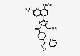 C=C(c1nc(-c2ccc(OC)c3nc(C(F)(F)F)ccc23)oc1CN)N1CCC(/C(=N/CC)c2ccccn2)CC1